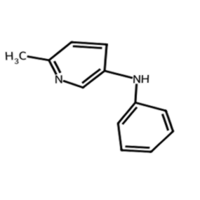 Cc1ccc(Nc2ccccc2)cn1